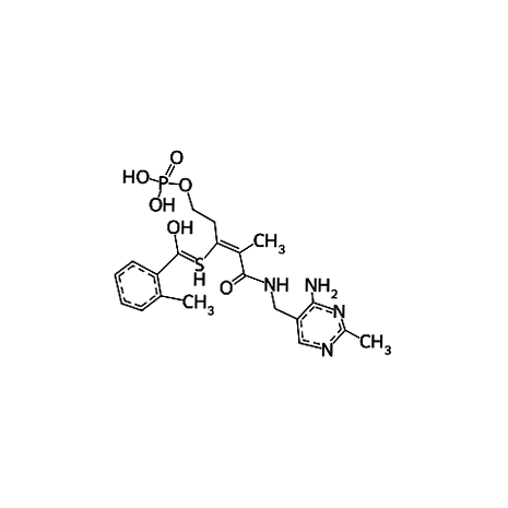 C/C(C(=O)NCc1cnc(C)nc1N)=C(CCOP(=O)(O)O)/[SH]=C(\O)c1ccccc1C